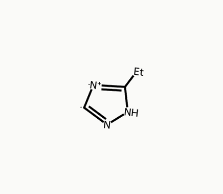 CCC1=[N+][C]=NN1